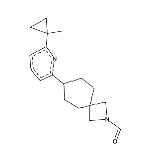 CC1(c2cccc(C3CCC4(CC3)CN(C=O)C4)n2)CC1